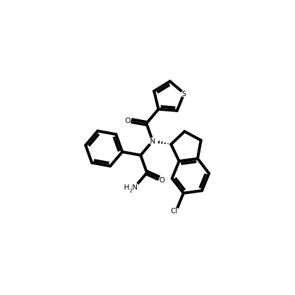 NC(=O)C(c1ccccc1)N(C(=O)c1ccsc1)[C@@H]1CCc2ccc(Cl)cc21